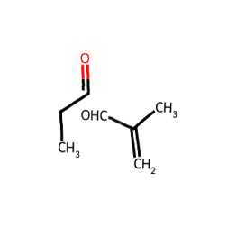 C=C(C)C=O.CCC=O